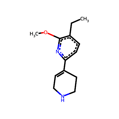 CCc1ccc(C2=CCNCC2)nc1OC